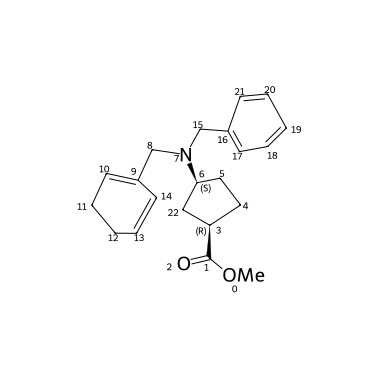 COC(=O)[C@@H]1CC[C@H](N(CC2=CCCC=C2)Cc2ccccc2)C1